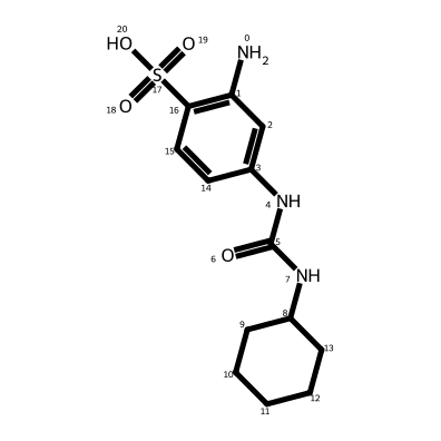 Nc1cc(NC(=O)NC2CCCCC2)ccc1S(=O)(=O)O